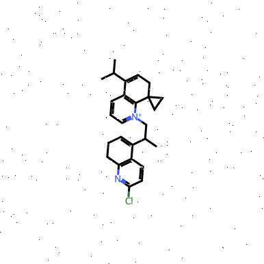 CC(C)C1=CCC2(CC2)c2c1ccc[n+]2CC(C)C1=CCCc2nc(Cl)ccc21